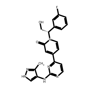 Cc1n[nH]cc1Nc1nccc(-c2ccn([C@H](CO)c3cccc(F)c3)c(=O)c2)n1